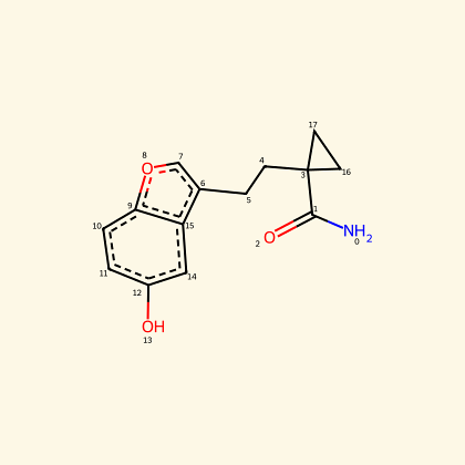 NC(=O)C1(CCc2coc3ccc(O)cc23)CC1